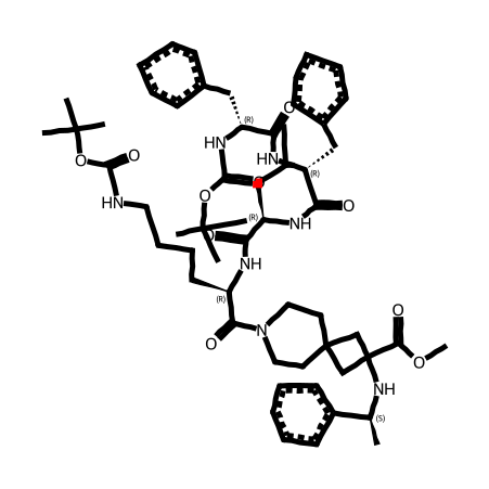 COC(=O)C1(N[C@@H](C)c2ccccc2)CC2(CCN(C(=O)[C@@H](CCCCNC(=O)OC(C)(C)C)NC(=O)[C@@H](CC(C)C)NC(=O)[C@@H](Cc3ccccc3)NC(=O)[C@@H](Cc3ccccc3)NC(=O)OC(C)(C)C)CC2)C1